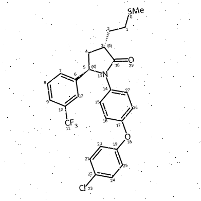 CSCC[C@H]1C[C@H](c2cccc(C(F)(F)F)c2)N(c2ccc(Oc3ccc(Cl)cc3)cc2)C1=O